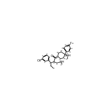 CCC(c1cccc(Cl)c1)C(CNC)C(=O)N1CCC(NC)(c2ccc(F)cc2)CC1